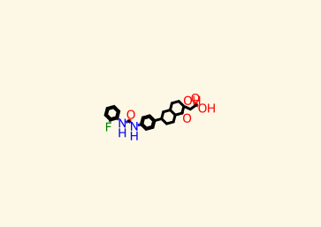 O=C(O)CC1(O)CCC2CC(c3ccc(NC(=O)Nc4ccccc4F)cc3)CCC2C1=O